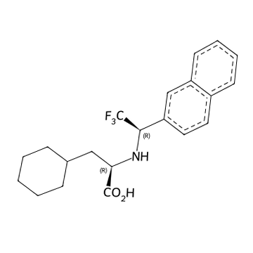 O=C(O)[C@@H](CC1CCCCC1)N[C@H](c1ccc2ccccc2c1)C(F)(F)F